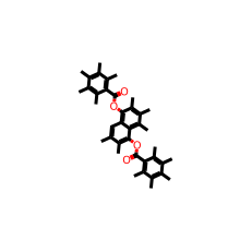 Cc1cc2c(OC(=O)c3c(C)c(C)c(C)c(C)c3C)c(C)c(C)c(C)c2c(OC(=O)c2c(C)c(C)c(C)c(C)c2C)c1C